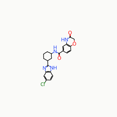 O=C1COc2ccc(C(=O)NC3CCCC(c4nc5cc(Cl)ccc5[nH]4)C3)cc2N1